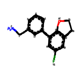 NCc1cccc(-c2cc(F)cc3c2O[CH]C3)c1